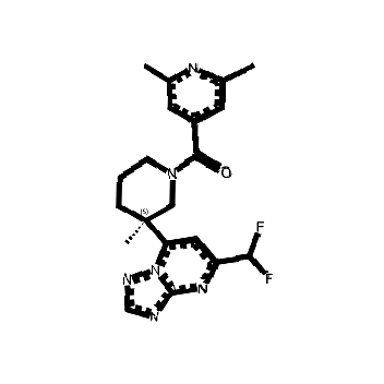 Cc1cc(C(=O)N2CCC[C@](C)(c3cc(C(F)F)nc4ncnn34)C2)cc(C)n1